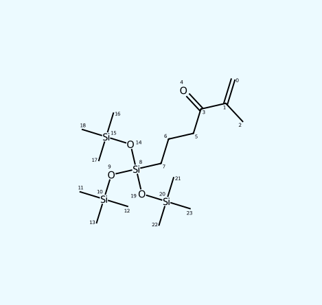 C=C(C)C(=O)CCC[Si](O[Si](C)(C)C)(O[Si](C)(C)C)O[Si](C)(C)C